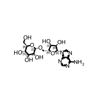 Nc1ncnc2c1ncn2[C@@H]1O[C@H](CO[C@H]2O[C@H](CO)[C@@H](O)[C@H](O)[C@H]2O)[C@@H](O)[C@H]1O